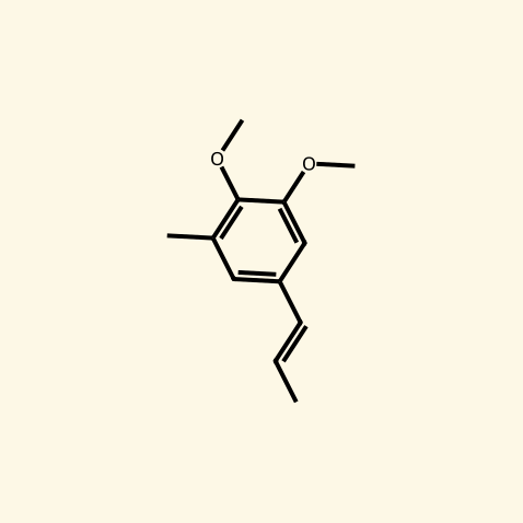 CC=Cc1cc(C)c(OC)c(OC)c1